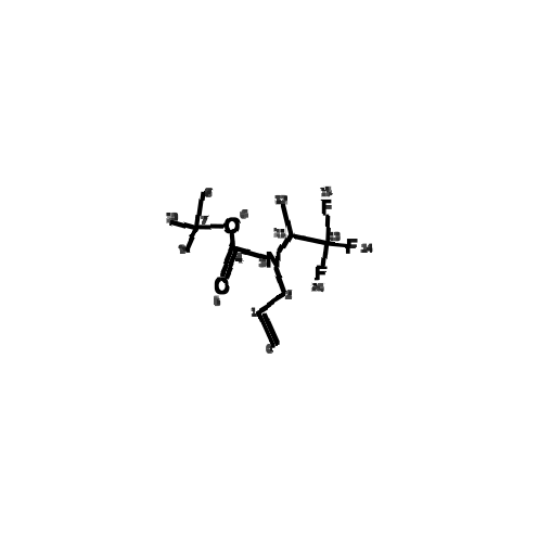 C=CCN(C(=O)OC(C)(C)C)C(C)C(F)(F)F